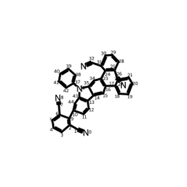 N#Cc1cccc(C#N)c1-c1ccc2c3cc(-c4ccccc4)c(-c4c(C#N)cccc4C#N)cc3n(-c3ccccc3)c2c1